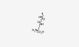 C#CCNC(=O)CCC(=O)NCCCC[C@@H](N)C(=O)O